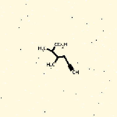 C#CCC(C)C(C)C(=O)O